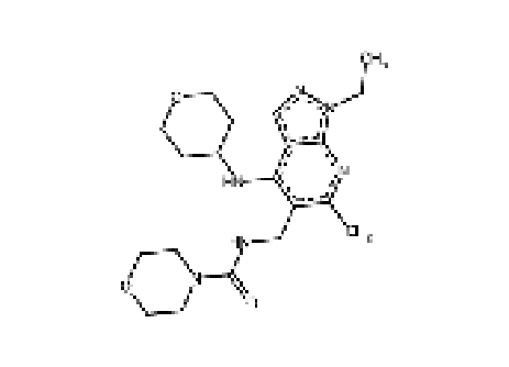 CCn1ncc2c(NC3CCOCC3)c(CNC(=O)N3CCOCC3)c(C)nc21